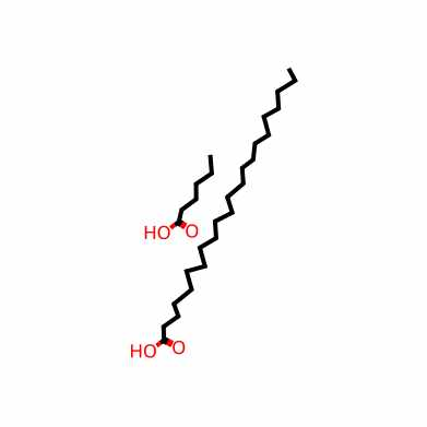 CCCCCC(=O)O.CCCCCCCCCCCCCCCCCCCCCC(=O)O